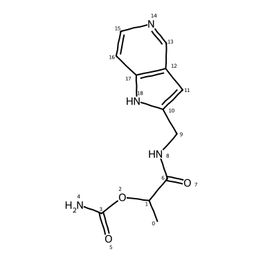 CC(OC(N)=O)C(=O)NCc1cc2cnccc2[nH]1